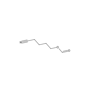 N#CCCCCOC=O